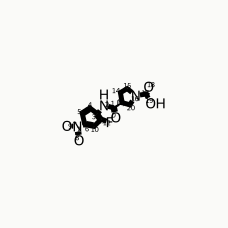 O=C(Nc1ccc([N+](=O)[O-])cc1F)[C@H]1CCN(C(=O)O)C1